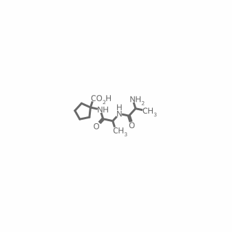 CC(N)C(=O)NC(C)C(=O)NC1(C(=O)O)CCCC1